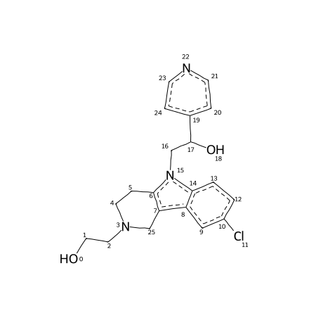 OCCN1CCc2c(c3cc(Cl)ccc3n2CC(O)c2ccncc2)C1